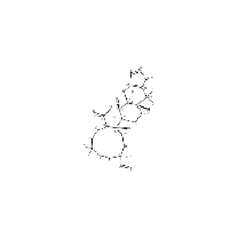 C=C[C@@]1(C)CCC(C)(C)CCC2C(=O)C[C@@H]3[C@@]4(C)Cc5cnoc5C(C)(C)[C@@H]4CC[C@@]3(C)[C@]2(C)CC1